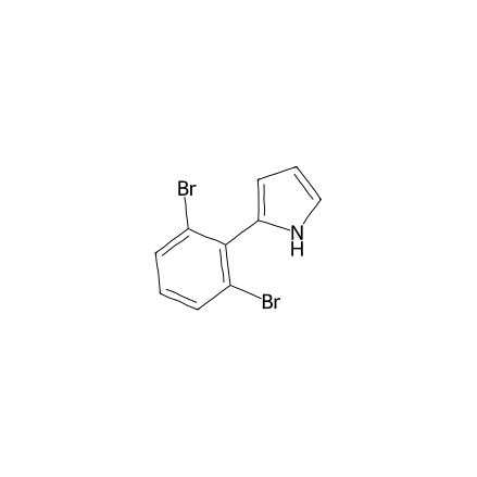 Brc1cccc(Br)c1-c1ccc[nH]1